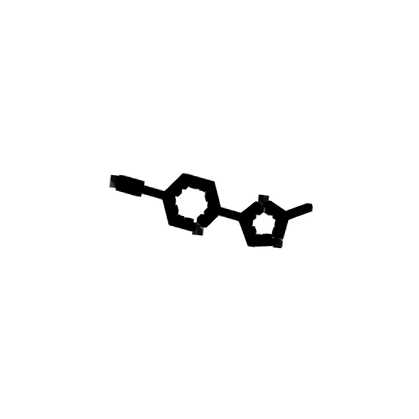 Cc1nc(-c2ccc(C#N)cn2)cs1